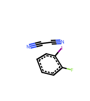 Fc1ccccc1I.N#CC#N